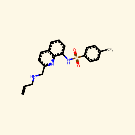 C=CCNCc1ccc2cccc(NS(=O)(=O)c3ccc(C(F)(F)F)cc3)c2n1